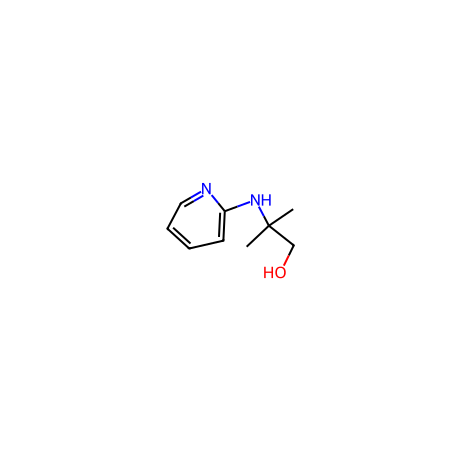 CC(C)(CO)Nc1ccccn1